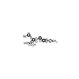 Cc1c(COc2cc(OCc3cncc(C#N)c3)c(CNC(CO)C(=O)O)cc2Cl)cccc1-c1ccc2oc(N3CCN(C)CC3)nc2c1